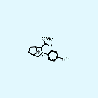 CCCc1ccc([C@H]2CC3CCC(C2C(=O)OC)N3C)cc1